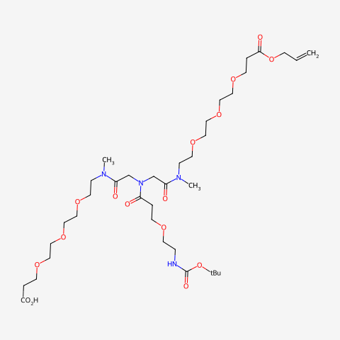 C=CCOC(=O)CCOCCOCCOCCN(C)C(=O)CN(CC(=O)N(C)CCOCCOCCOCCC(=O)O)C(=O)CCOCCNC(=O)OC(C)(C)C